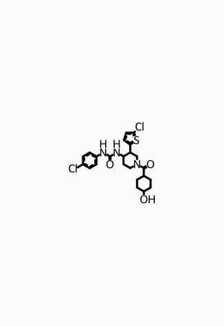 O=C(Nc1ccc(Cl)cc1)NC1CCN(C(=O)C2CCC(O)CC2)CC1c1ccc(Cl)s1